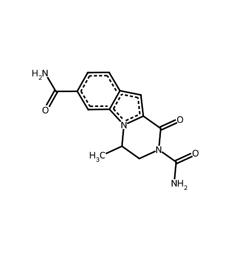 CC1CN(C(N)=O)C(=O)c2cc3ccc(C(N)=O)cc3n21